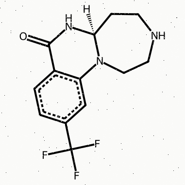 O=C1N[C@H]2CCNCCN2c2cc(C(F)(F)F)ccc21